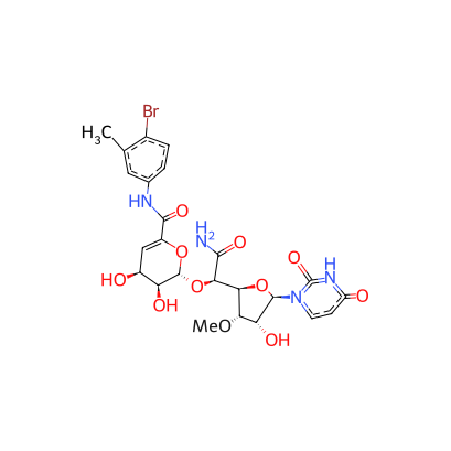 CO[C@H]1[C@@H](O)[C@H](n2ccc(=O)[nH]c2=O)O[C@@H]1[C@@H](O[C@H]1OC(C(=O)Nc2ccc(Br)c(C)c2)=C[C@H](O)[C@@H]1O)C(N)=O